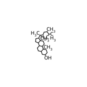 CC(C)[C@H](C)CC[C@@H](C)C1CCC2C3CCC4CC(O)CC[C@]4(C)C3CC[C@@]21C